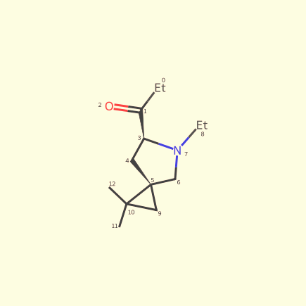 CCC(=O)[C@@H]1C[C@@]2(CN1CC)CC2(C)C